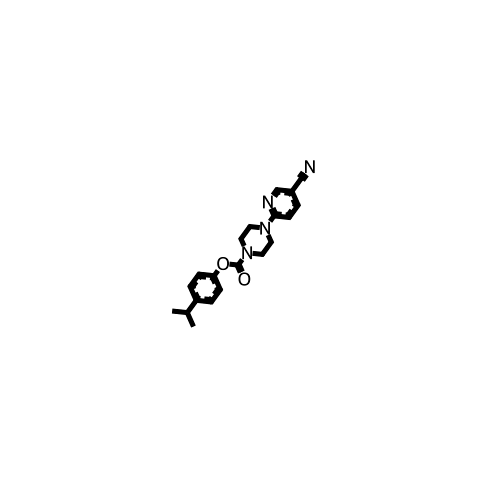 CC(C)c1ccc(OC(=O)N2CCN(c3ccc(C#N)cn3)CC2)cc1